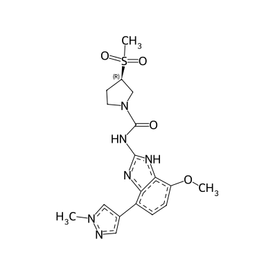 COc1ccc(-c2cnn(C)c2)c2nc(NC(=O)N3CC[C@@H](S(C)(=O)=O)C3)[nH]c12